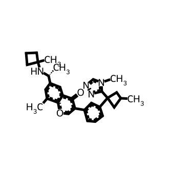 Cc1cc([C@@H](C)NC2(C)CCC2)cc2c(=O)c(-c3cccc(C4(c5nncn5C)CC(C)C4)c3)coc12